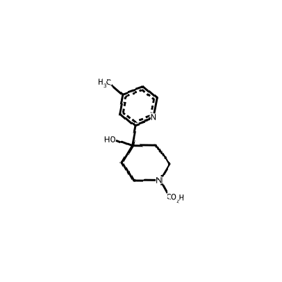 Cc1ccnc(C2(O)CCN(C(=O)O)CC2)c1